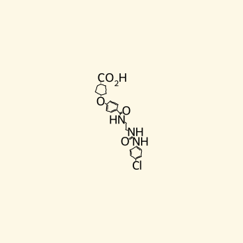 O=C(NCCNC(=O)c1ccc(O[C@H]2CC[C@@H](C(=O)O)CC2)cc1)Nc1ccc(Cl)cc1